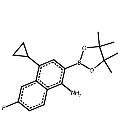 CC1(C)OB(c2cc(C3CC3)c3cc(F)ccc3c2N)OC1(C)C